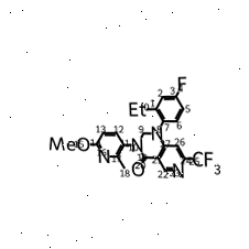 CCc1cc(F)ccc1N1CN(c2ccc(OC)nc2C)C(=O)c2cnc(C(F)(F)F)cc21